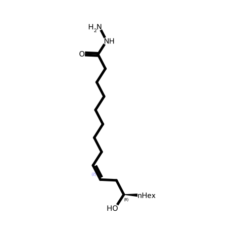 CCCCCC[C@@H](O)C/C=C\CCCCCCCC(=O)NN